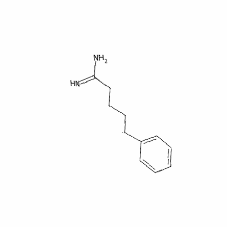 N=C(N)CCC[CH]c1ccccc1